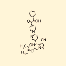 CC(O)[C@H](C)Oc1cc(-c2ccc(N3CCN(C(=O)[C@H](O)c4ccccc4)CC3)nc2)c2c(C#N)cnn2c1